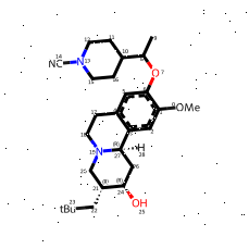 COc1cc2c(cc1OC(C)C1CCN(C#N)CC1)CCN1C[C@@H](CC(C)(C)C)[C@H](O)C[C@H]21